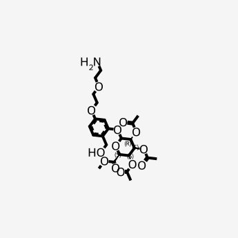 COC(=O)[C@H]1OC(Oc2cc(OCCOCCN)ccc2CO)[C@H](OC(C)=O)[C@@H](OC(C)=O)[C@@H]1OC(C)=O